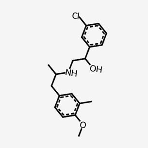 COc1ccc(CC(C)NCC(O)c2cccc(Cl)c2)cc1C